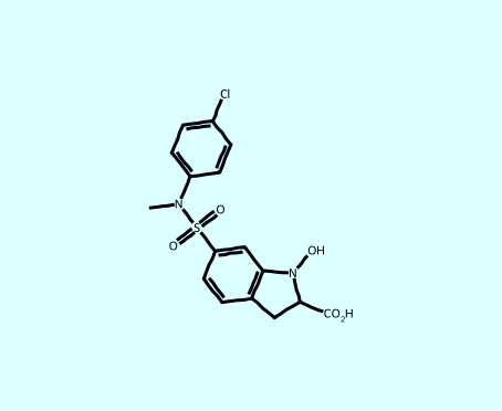 CN(c1ccc(Cl)cc1)S(=O)(=O)c1ccc2c(c1)N(O)C(C(=O)O)C2